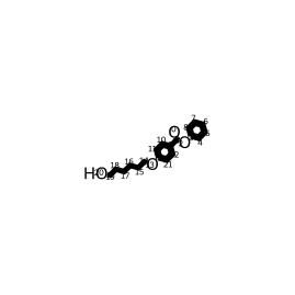 O=C(Oc1ccccc1)c1ccc(OCCCCCCO)cc1